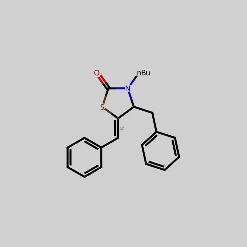 CCCCN1C(=O)S/C(=C\c2ccccc2)C1Cc1ccccc1